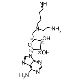 N=CCCCN(CCN)C[C@H]1O[C@@H](n2cnc3c(N)ncnc32)[C@H](O)[C@@H]1O